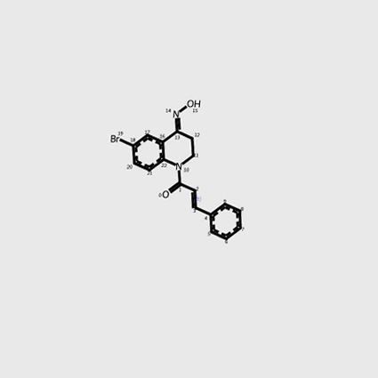 O=C(/C=C/c1ccccc1)N1CCC(=NO)c2cc(Br)ccc21